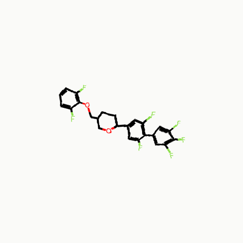 Fc1cc(-c2c(F)cc(C3CCC(COc4c(F)cccc4F)CO3)cc2F)cc(F)c1F